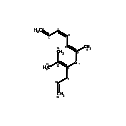 C=C/C=C\C=C(/C)SC(CC=C)=C(C)C